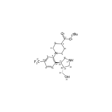 CC(C)(C)OC(=O)C1CCN(c2cc(C(F)(F)F)ccc2[C@H]2CNC[C@@H]2CO)CC1